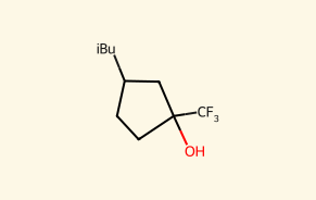 CCC(C)C1CCC(O)(C(F)(F)F)C1